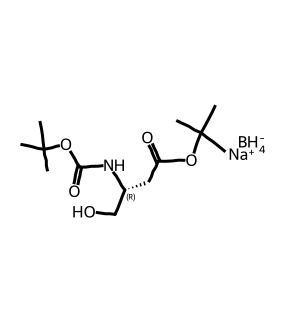 CC(C)(C)OC(=O)C[C@H](CO)NC(=O)OC(C)(C)C.[BH4-].[Na+]